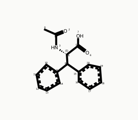 CC(=O)N[C@H](C(=O)O)C(c1ccccc1)c1ccccc1